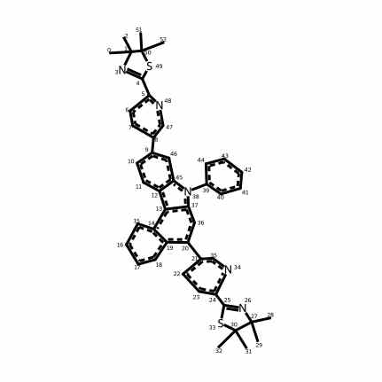 CC1(C)N=C(c2ccc(-c3ccc4c5c6ccccc6c(-c6ccc(C7=NC(C)(C)C(C)(C)S7)nc6)cc5n(-c5ccccc5)c4c3)cn2)SC1(C)C